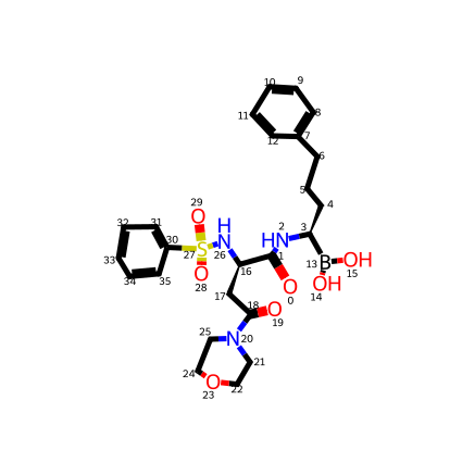 O=C(N[C@@H](CCCc1ccccc1)B(O)O)[C@@H](CC(=O)N1CCOCC1)NS(=O)(=O)c1ccccc1